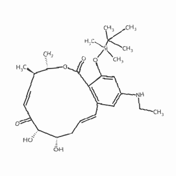 CCNc1cc2c(c(O[Si](C)(C)C(C)(C)C)c1)C(=O)O[C@@H](C)[C@H](C)/C=C\C(=O)[C@@H](O)[C@@H](O)C/C=C/2